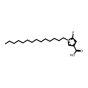 CCCCCCCCCCCCCCn1cc(C(=O)O)cc1F